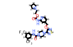 O=C(Nc1cc(COc2nsnc2N2CCN(C(=O)Nc3cc(C(F)(F)F)cc(C(F)(F)F)c3)CC2)ccn1)OCCN1CCCC1